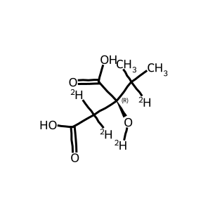 [2H]O[C@@](C(=O)O)(C([2H])(C)C)C([2H])([2H])C(=O)O